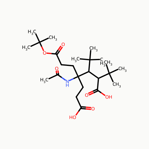 CC(=O)NC(CCC(=O)O)(CCC(=O)OC(C)(C)C)C(C(C(=O)O)C(C)(C)C)C(C)(C)C